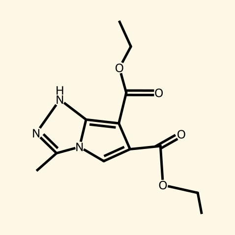 CCOC(=O)c1cn2c(C)n[nH]c2c1C(=O)OCC